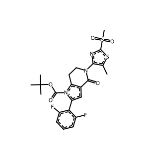 Cc1sc(S(C)(=O)=O)nc1N1CCc2c(cc(-c3c(F)cccc3F)n2C(=O)OC(C)(C)C)C1=O